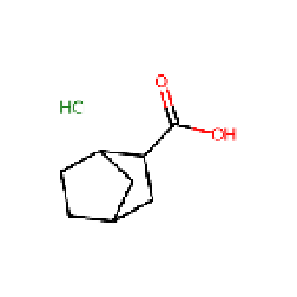 Cl.O=C(O)C1CC2CCC1C2